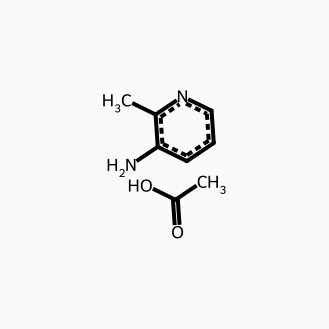 CC(=O)O.Cc1ncccc1N